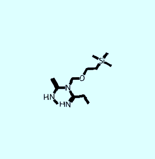 C=C(NC)N(COCC[Si](C)(C)C)C(=N)CC